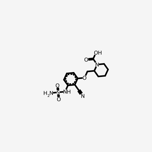 N#Cc1c(NS(N)(=O)=O)cccc1OCC1CCCCN1C(=O)O